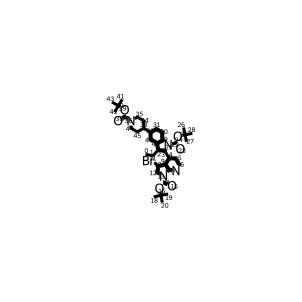 CCc1c(-c2ccnc3c2c(Br)cn3C(=O)OC(C)(C)C)n(C(=O)OC(C)(C)C)c2ccc(C3CCN(C(=O)OC(C)(C)C)CC3)cc12